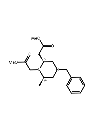 COC(=O)C[C@H]1CN(Cc2ccccc2)C[C@@H](C)N1CC(=O)OC